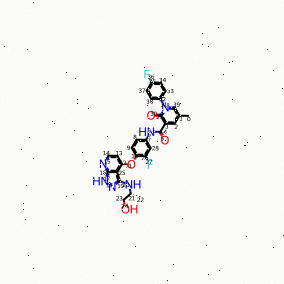 Cc1cc(C(=O)Nc2ccc(Oc3ccnc4[nH]nc(N[C@H](C)CO)c34)c(F)c2)c(=O)n(-c2ccc(F)cc2)c1